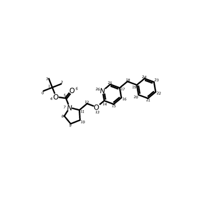 CC(C)(C)OC(=O)N1CCCC1COc1ccc(Cc2ccccc2)cn1